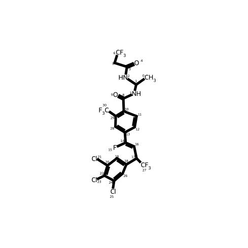 CC(NC(=O)CC(F)(F)F)NC(=O)c1ccc(/C(F)=C/C(c2cc(Cl)c(Cl)c(Cl)c2)C(F)(F)F)cc1C(F)(F)F